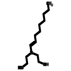 CCCCCCCC=CN(CCO)CCO